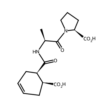 C[C@H](NC(=O)[C@@H]1CC=CC[C@@H]1C(=O)O)C(=O)N1CCC[C@H]1C(=O)O